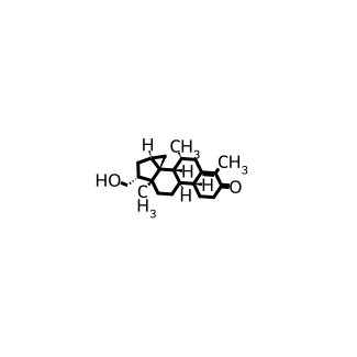 CC1=C2C[C@@H](C)[C@@H]3[C@H](CC[C@]4(C)[C@H](CO)C[C@H]5C[C@@]534)[C@H]2CCC1=O